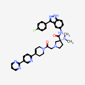 CN(C)[C@]1(C(=O)Nc2ccc3[nH]nc(-c4ccc(F)cc4)c3c2)CCN(CC(=O)N2CC=C(c3ccc(-c4ncccn4)cn3)CC2)C1